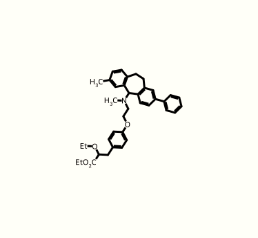 CCOC(=O)C(Cc1ccc(OCCN(C)C2c3ccc(-c4ccccc4)cc3CCc3ccc(C)cc32)cc1)OCC